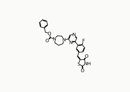 O=C1NC(=O)/C(=C\c2ccc(F)c(-c3cncc(N4CCCN(C(=O)OCc5ccccc5)CC4)n3)c2)S1